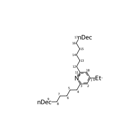 C[CH]c1cc(CCCCCCCCCCCCCCC)nc(CCCCCCCCCCCCCCC)c1